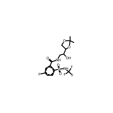 CC1(C)OCC(C(O)CNC(=O)c2cc(F)ccc2S(=O)(=O)NC(F)(F)F)O1